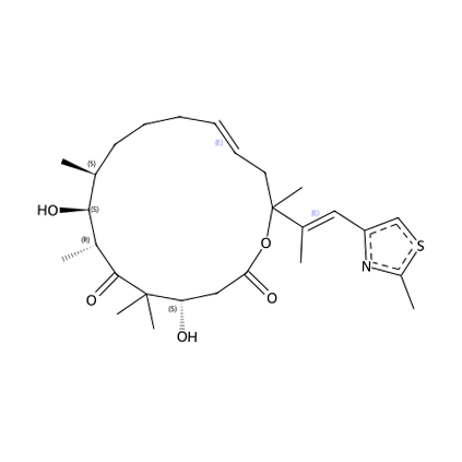 C/C(=C\c1csc(C)n1)C1(C)C/C=C/CCC[C@H](C)[C@H](O)[C@@H](C)C(=O)C(C)(C)[C@@H](O)CC(=O)O1